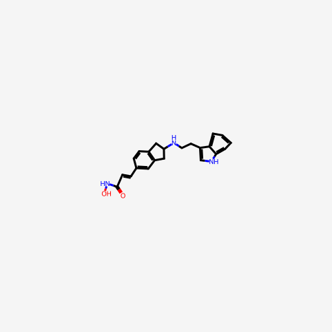 O=C(C=Cc1ccc2c(c1)CC(NCCc1c[nH]c3ccccc13)C2)NO